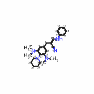 CN(C)c1cc(CC(C#N)=CNc2ccccc2)cc(N(C)C)c1N1CCCCC1